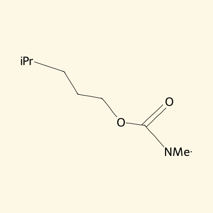 C[N]C(=O)OCCCC(C)C